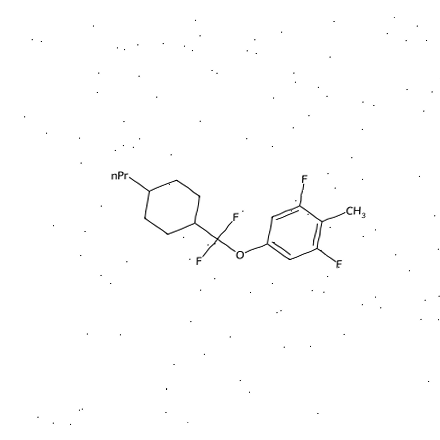 CCCC1CCC(C(F)(F)Oc2cc(F)c(C)c(F)c2)CC1